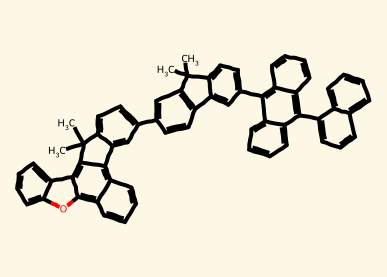 CC1(C)c2ccc(-c3c4ccccc4c(-c4cccc5ccccc45)c4ccccc34)cc2-c2ccc(-c3ccc4c(c3)-c3c(c5c6ccccc6oc5c5ccccc35)C4(C)C)cc21